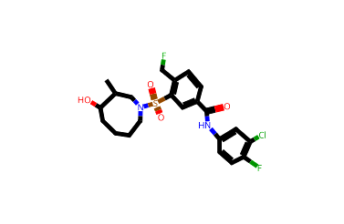 CC1CN(S(=O)(=O)c2cc(C(=O)Nc3ccc(F)c(Cl)c3)ccc2CF)CCCCC1O